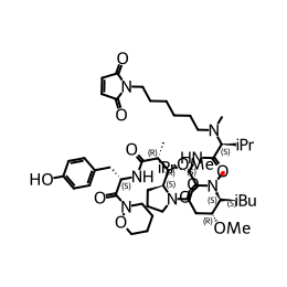 CC[C@H](C)[C@@H]([C@@H](CC(=O)N1CCC[C@H]1[C@H](OC)[C@@H](C)C(=O)N[C@@H](Cc1ccc(O)cc1)C(=O)N1CCCCO1)OC)N(C)C(=O)[C@@H](NC(=O)[C@H](C(C)C)N(C)CCCCCCN1C(=O)C=CC1=O)C(C)C